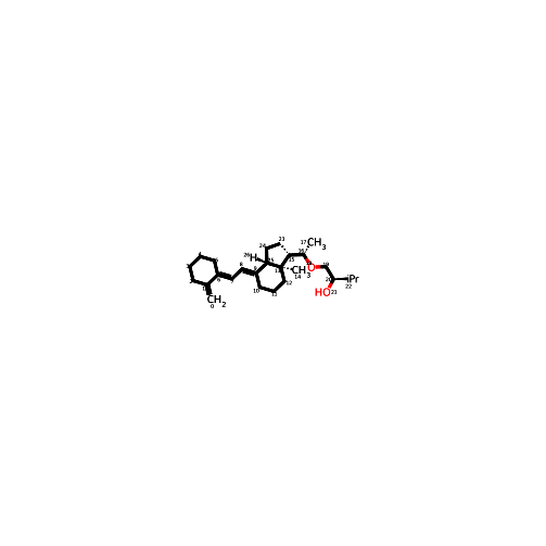 C=C1CCCCC1=CC=C1CCC[C@]2(C)[C@@H]([C@H](C)OC[C@H](O)C(C)C)CC[C@@H]12